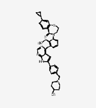 N#CC1CCN(Cc2ccc(-c3cc4c(-c5cccc(N6CCOc7cc(C8CC8)ccc7C6=O)c5CO)ncnc4[nH]3)cc2)CC1